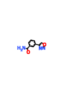 NC(=O)c1cccc(-c2conn2)c1